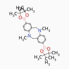 CN1Cc2cc(B3OC(C)(C)C(C)(C)O3)ccc2N(C)Cc2cc(B3OC(C)(C)C(C)(C)O3)ccc21